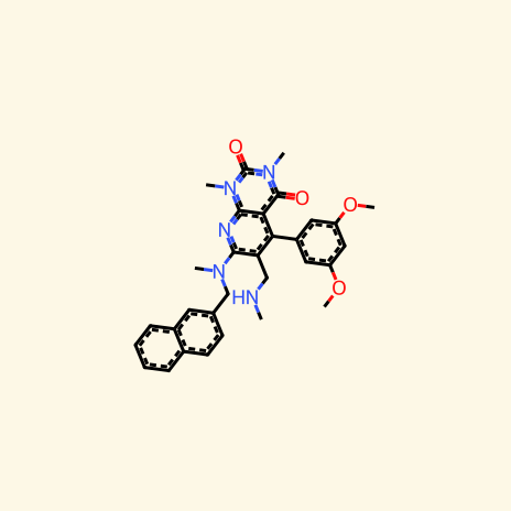 CNCc1c(N(C)Cc2ccc3ccccc3c2)nc2c(c1-c1cc(OC)cc(OC)c1)c(=O)n(C)c(=O)n2C